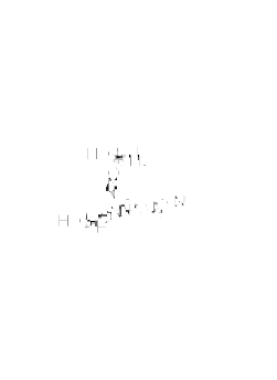 C[Si](C)(C)CCOCn1ccnc1CC(COc1ccc(C(=O)N2CCC3(CCN(C4CCCCC4)CC3)C2)cc1)Cc1nccn1COCC[Si](C)(C)C